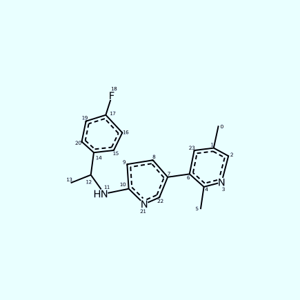 Cc1cnc(C)c(-c2ccc(NC(C)c3ccc(F)cc3)nc2)c1